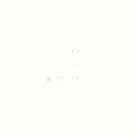 [Cr+3].[Ir+3].[O-2].[O-2].[O-2]